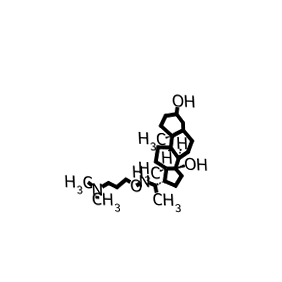 CC(NOCCCN(C)C)[C@H]1CC[C@@]2(O)[C@@H]3CCC4CC(O)CC[C@]4(C)[C@H]3CC[C@]12C